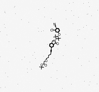 CC(C)(C)OC(=O)COCCCCC#Cc1ccc2c(c1)C(=O)N([C@H]1C(C)(C)[C@H](Oc3ccc(C#N)c(Cl)c3)C1(C)C)C2